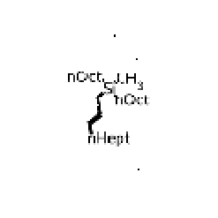 CCCCCCC/C=C/C[Si](C)(CCCCCCCC)CCCCCCCC